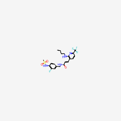 CCCCNc1nc(C(F)(F)F)ccc1C=CC(=O)NCc1ccc(NS(C)(=O)=O)c(F)c1